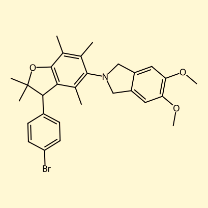 COc1cc2c(cc1OC)CN(c1c(C)c(C)c3c(c1C)C(c1ccc(Br)cc1)C(C)(C)O3)C2